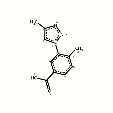 Cc1cn(-c2cc(C(=O)O)ccc2C)nn1